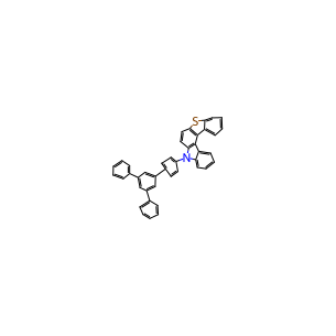 c1ccc(-c2cc(-c3ccccc3)cc(-c3ccc(-n4c5ccccc5c5c6c(ccc54)sc4ccccc46)cc3)c2)cc1